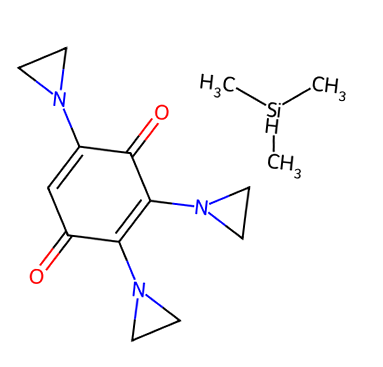 C[SiH](C)C.O=C1C=C(N2CC2)C(=O)C(N2CC2)=C1N1CC1